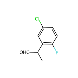 CC(C=O)c1cc(Cl)ccc1F